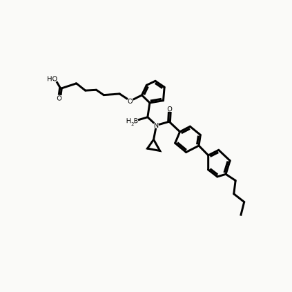 BC(c1ccccc1OCCCCCC(=O)O)N(C(=O)c1ccc(-c2ccc(CCCC)cc2)cc1)C1CC1